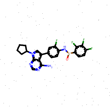 Nc1ncnc2c1c(-c1ccc(N[S+]([O-])c3ccc(F)c(F)c3F)c(F)c1)cn2C1CCCC1